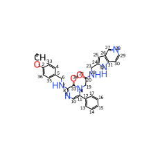 COc1ccc(CNc2ncc(-c3ccccc3)n(CC(=O)NCc3cc4cnccc4[nH]3)c2=O)cc1